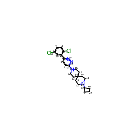 Clc1ccc(Cl)c(-c2ccc(N3CCC4(CC3)CCN(C3CCC3)CC4)nn2)c1